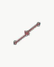 CCc1ccc2c(OCCCCCCCCCCCCCCCCCCCCC(=O)OC(C)C)c3ccccc3c(OCCCCCCCCCCCCCCCCCCCCC(=O)OC(C)C)c2c1